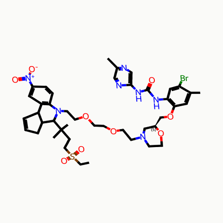 CCS(=O)(=O)CCC(C)(C)C1C2CC=CC2c2cc([N+](=O)[O-])ccc2N1CCOCCOCCN1CCO[C@H](COc2cc(C)c(Br)cc2NC(=O)Nc2cnc(C)cn2)C1